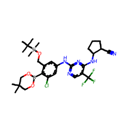 CC1(C)COB(c2c(Cl)cc(Nc3ncc(C(F)(F)F)c(NC4CCCC4C#N)n3)cc2CO[Si](C)(C)C(C)(C)C)OC1